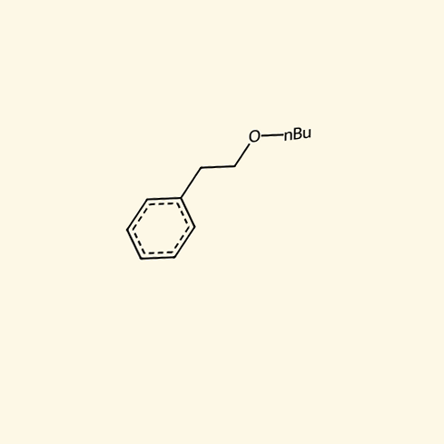 CCCCOCCc1ccccc1